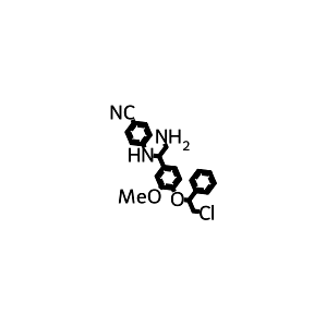 COc1cc(C(CN)Nc2ccc(C#N)cc2)ccc1OC(CCl)c1ccccc1